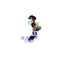 Cc1ccc2cccc(OCc3c(Cl)ccc(S(=O)(=O)N4CCC[C@H]4C(=O)N4CCN(C(=O)c5ccc(C(=N)N)cc5)CC4)c3Cl)c2n1.Cl.Cl